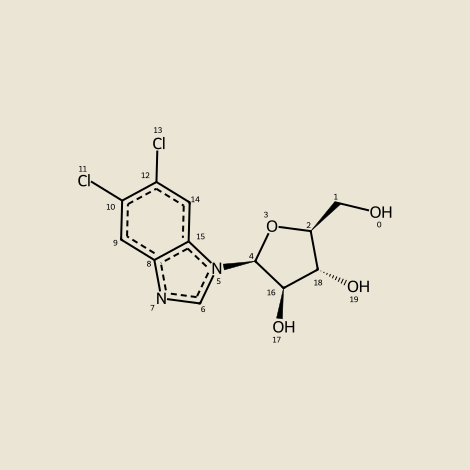 OC[C@@H]1O[C@H](n2cnc3cc(Cl)c(Cl)cc32)[C@H](O)[C@H]1O